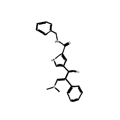 CN(C)C=C(C(=O)c1c[nH]c(C(=O)NCc2ccccc2)c1)c1ccccc1